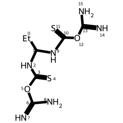 CCC(NC(=S)OC(=N)N)NC(=S)OC(=N)N